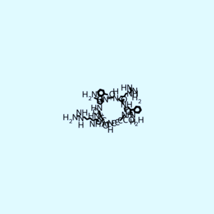 CC(=O)NC(CCCNC(=N)N)C(=O)N[C@H]1CCC(=O)NCCCC(C(=O)O)NC(=O)[C@H](Cc2c[nH]c3ccccc23)NC(=O)[C@H](CCCNC(=N)N)NC(=O)[C@@H](Cc2ccccc2)NC(=O)C(CCCN)NC1=O